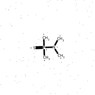 CN(C)P(C)(C)=S